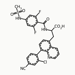 CS(=O)(=O)Nc1cc(F)c(C(=O)NC(Cc2ccc(-c3ccc(C#N)cc3Cl)c3ncccc23)C(=O)O)c(F)c1